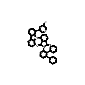 N#Cc1cncc(-c2cccc3c4ccccc4n(-c4cccc5c4C(=O)N(c4cccc(-c6ccccc6)c4-c4ccccc4)C5=O)c23)c1